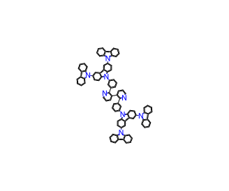 c1cc(-c2ncccc2-c2cccnc2-c2cccc(-n3c4ccc(-n5c6ccccc6c6ccccc65)cc4c4cc(-n5c6ccccc6c6ccccc65)ccc43)c2)cc(-n2c3ccc(-n4c5ccccc5c5ccccc54)cc3c3cc(-n4c5ccccc5c5ccccc54)ccc32)c1